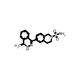 C=C1NN=C(c2ccc3c(c2)CCN(S(N)(=O)=O)C3)c2ccccc21